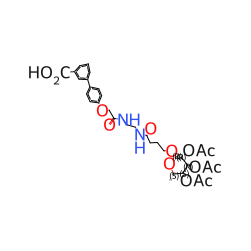 CC(=O)O[C@@H]1[C@@H](OC(C)=O)[C@H](C)O[C@@H](OCCCC(=O)NCCNC(=O)COc2ccc(-c3cccc(C(=O)O)c3)cc2)[C@@H]1OC(C)=O